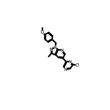 COc1ccc(Cn2nc(C)c3cc(-c4cncc(Cl)n4)cnc32)cc1